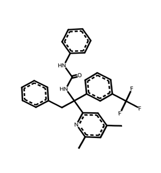 Cc1cc(C)nc(C(Cc2ccccc2)(NC(=O)Nc2ccccc2)c2cccc(C(F)(F)F)c2)c1